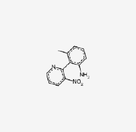 Cc1cccc(N)c1-c1ncccc1[N+](=O)[O-]